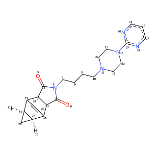 O=C1C2C(C(=O)N1CCCCN1CCN(c3ncccn3)CC1)C1C=CC2[C@H]2C[C@@H]12